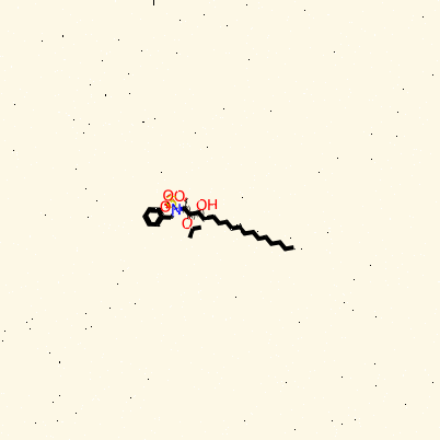 CCCCCCCCCCCCCC[C@H](O)[C@H](OC(C)C)[C@H]1COS(=O)(=O)N1Cc1ccccc1